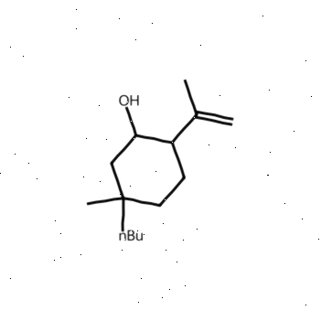 C=C(C)C1CCC(C)(CCCC)CC1O